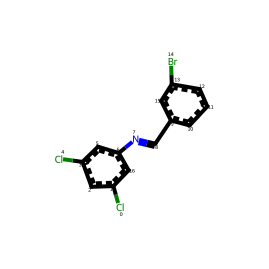 Clc1cc(Cl)cc(N=Cc2cccc(Br)c2)c1